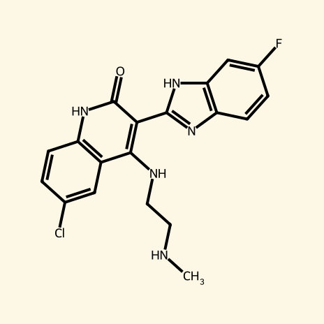 CNCCNc1c(-c2nc3ccc(F)cc3[nH]2)c(=O)[nH]c2ccc(Cl)cc12